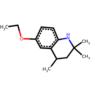 CCOc1ccc2c(c1)C(C)CC(C)(C)N2